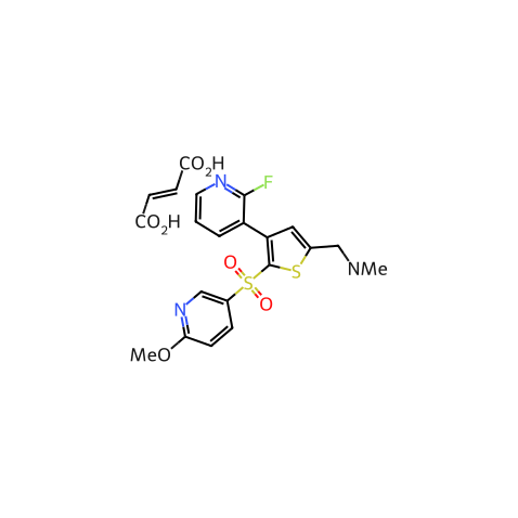 CNCc1cc(-c2cccnc2F)c(S(=O)(=O)c2ccc(OC)nc2)s1.O=C(O)/C=C/C(=O)O